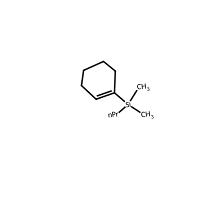 CCC[Si](C)(C)C1=CCCCC1